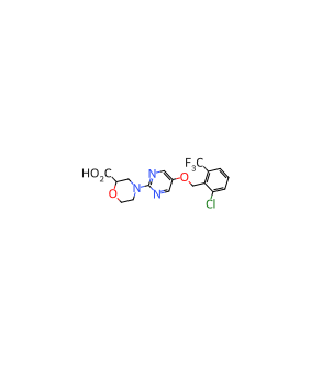 O=C(O)C1CN(c2ncc(OCc3c(Cl)cccc3C(F)(F)F)cn2)CCO1